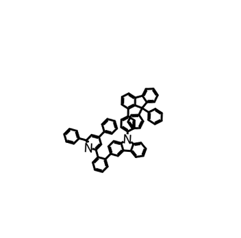 c1ccc(-c2cc(-c3ccccc3)nc(-c3ccccc3-c3ccc4c(c3)c3ccccc3n4-c3ccc(-c4cccc5c4C(c4ccccc4)(c4ccccc4)c4ccccc4-5)cc3)c2)cc1